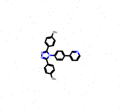 CC(C)(C)c1ccc(-c2nnc(-c3ccc(C(C)(C)C)cc3)n2-c2ccc(-c3cccnc3)cc2)cc1